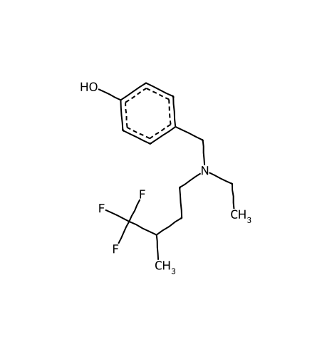 CCN(CCC(C)C(F)(F)F)Cc1ccc(O)cc1